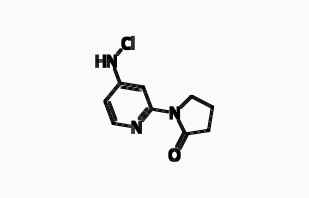 O=C1CCCN1c1cc(NCl)ccn1